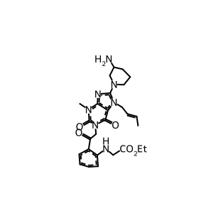 CC=CCn1c(N2CCCC(N)C2)nc2c1c(=O)n(CC(=O)c1ccccc1NCC(=O)OCC)c(=O)n2C